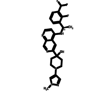 C[C@@H](Nc1ccnc2cnc(C3(O)CCN(c4cnn(C)c4)CC3)cc12)c1cccc(C(F)F)c1F